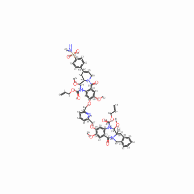 C=CCOC(=O)N1c2cc(OCc3cccc(COc4cc5c(cc4OC)C(=O)N4Cc6ccccc6C[C@H]4C(OC)N5C(=O)OCC=C)n3)c(OC)cc2C(=O)N2CC=C(c3ccc(S(=O)(=O)NC)cc3)CC2C1OC